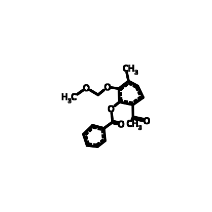 COCOc1c(C)ccc(C(C)=O)c1OC(=O)c1ccccc1